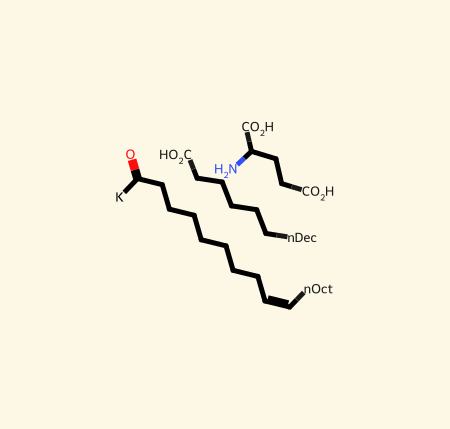 CCCCCCCC/C=C\CCCCCCC[C](=O)[K].CCCCCCCCCCCCCCCC(=O)O.NC(CCC(=O)O)C(=O)O